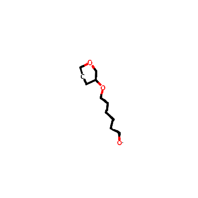 [O]CCCCCCOC1CCCOC1